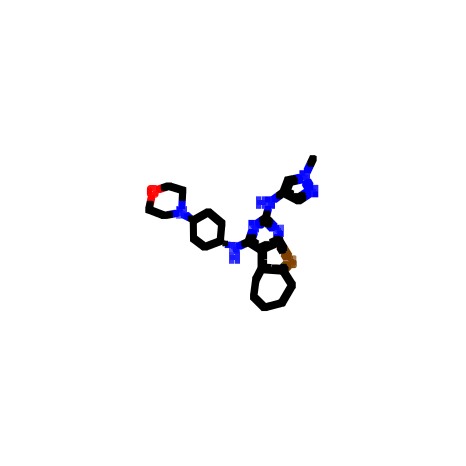 Cn1cc(Nc2nc(N[C@H]3CC[C@H](N4CCOCC4)CC3)c3c4c(sc3n2)CCCCC4)cn1